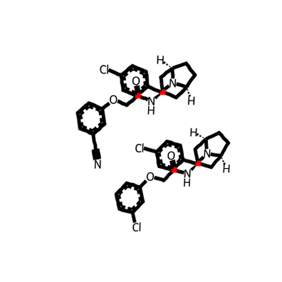 N#Cc1cccc(OCC(=O)N[C@H]2C[C@H]3CC[C@@H](C2)N3Cc2ccc(Cl)cc2)c1.O=C(COc1cccc(Cl)c1)N[C@H]1C[C@H]2CC[C@@H](C1)N2Cc1ccc(Cl)cc1